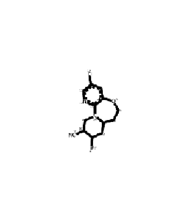 CC(C)C1CC2CCOc3cc(Cl)cnc3N2CC1C#N